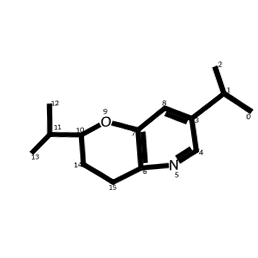 CC(C)c1cnc2c(c1)OC(C(C)C)CC2